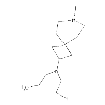 CCCN(CCI)C1CC2(CCN(I)CC2)C1